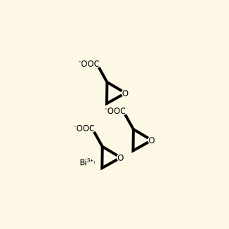 O=C([O-])C1CO1.O=C([O-])C1CO1.O=C([O-])C1CO1.[Bi+3]